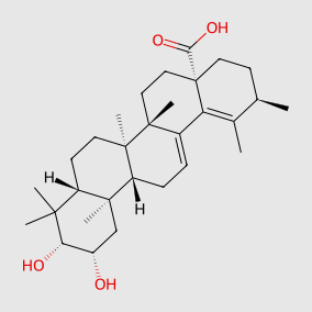 CC1=C2C3=CC[C@@H]4[C@@]5(C)C[C@H](O)[C@H](O)C(C)(C)[C@@H]5CC[C@@]4(C)[C@]3(C)CC[C@@]2(C(=O)O)CC[C@H]1C